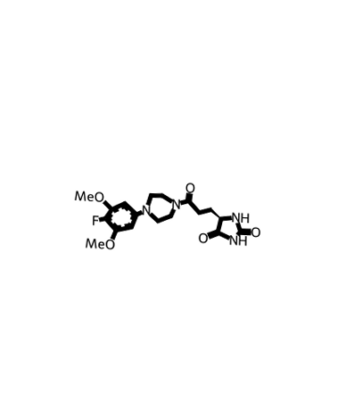 COc1cc(N2CCN(C(=O)CC[C@H]3NC(=O)NC3=O)CC2)cc(OC)c1F